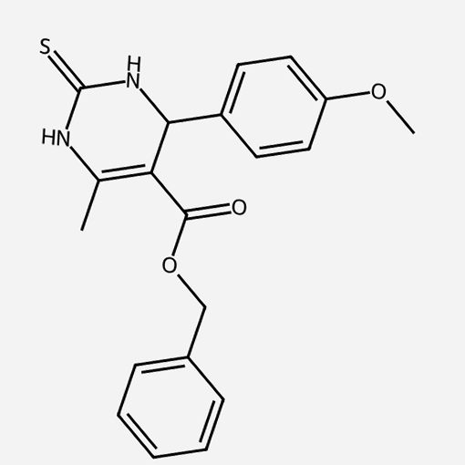 COc1ccc(C2NC(=S)NC(C)=C2C(=O)OCc2ccccc2)cc1